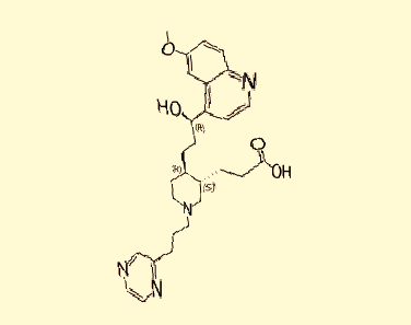 COc1ccc2nccc([C@H](O)CC[C@@H]3CCN(CCCc4cnccn4)C[C@H]3CCC(=O)O)c2c1